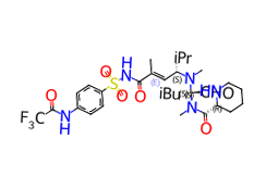 CC[C@H](C)[C@@](C=O)(N(C)C(=O)[C@H]1CCCCN1)N(C)[C@H](/C=C(\C)C(=O)NS(=O)(=O)c1ccc(NC(=O)C(F)(F)F)cc1)C(C)C